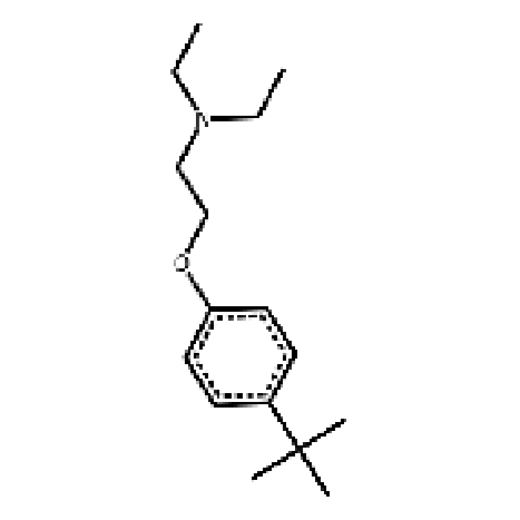 CCN(CC)CCOc1ccc(C(C)(C)C)cc1